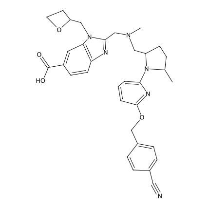 CC1CCC(CN(C)Cc2nc3ccc(C(=O)O)cc3n2CC2CCO2)N1c1cccc(OCc2ccc(C#N)cc2)n1